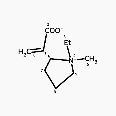 C=CC(=O)[O-].CC[N+]1(C)CCCC1